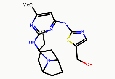 COc1cc(Nc2ncc(CO)s2)nc(NC2CC3CCC(C2)N3CCC#N)n1